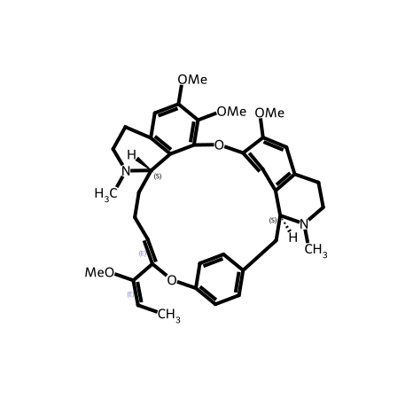 C/C=C(OC)\C1=C/CC[C@H]2c3c(cc(OC)c(OC)c3Oc3cc4c(cc3OC)CCN(C)[C@H]4Cc3ccc(cc3)O1)CCN2C